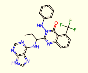 CCC(Nc1ncnc2[nH]cnc12)c1nc2cccc(C(F)(F)F)c2c(=O)n1Nc1ccccc1